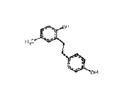 Cc1ccc(O)c(CCc2ccc(O)cc2)c1